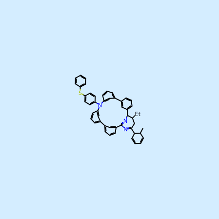 CCC1CC(C2C=CC=CC2C)=NC2=NC1c1cccc(c1)-c1cccc(c1)N(c1ccc(Sc3ccccc3)cc1)c1cccc(c1)-c1cccc2c1